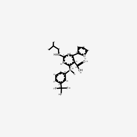 CC(C)C[AsH]c1nc(-c2ccco2)c(C(=O)O)c(N(C)c2cccc(C(F)(F)F)c2)n1